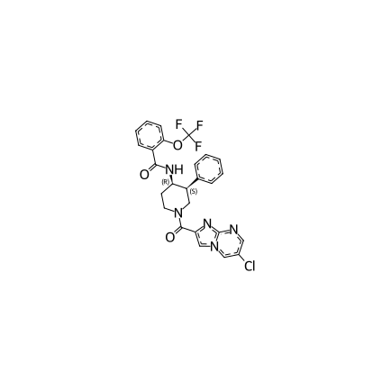 O=C(N[C@@H]1CCN(C(=O)c2cn3cc(Cl)cnc3n2)C[C@@H]1c1ccccc1)c1ccccc1OC(F)(F)F